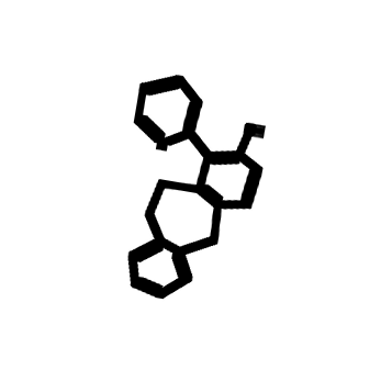 Oc1ccc2c(c1-c1ccccn1)CCc1ccccc1C2